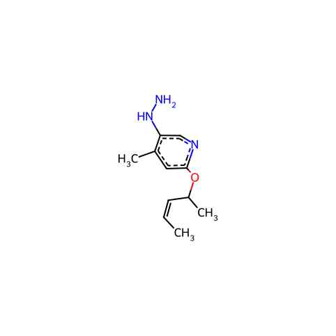 C/C=C\C(C)Oc1cc(C)c(NN)cn1